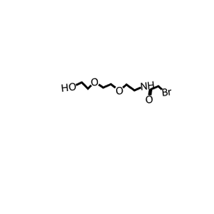 O=C(CBr)NCCOCCOCCO